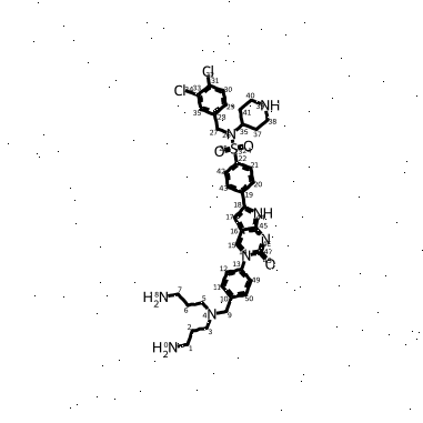 NCCCN(CCCN)Cc1ccc(-n2cc3cc(-c4ccc(S(=O)(=O)N(Cc5ccc(Cl)c(Cl)c5)C5CCNCC5)cc4)[nH]c3nc2=O)cc1